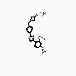 Cc1cc(OC(C)C)ccc1-c1cnc(-c2ccc(CN3CC(C(=O)O)C3)cc2)s1